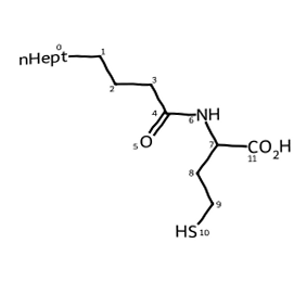 CCCCCCCCCCC(=O)NC(CCS)C(=O)O